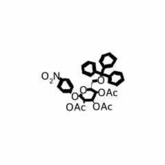 CC(=O)O[C@@H]1[C@@H](OC(C)=O)[C@@H](Oc2ccc([N+](=O)[O-])cc2)O[C@H](COC(c2ccccc2)(c2ccccc2)c2ccccc2)[C@H]1OC(C)=O